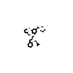 COc1cc(C(=O)N2C[C@H](F)C[SH](N)C2)cc2nc(-c3cc4ccccc4n3CC3CC3)n(Cc3cccs3)c12